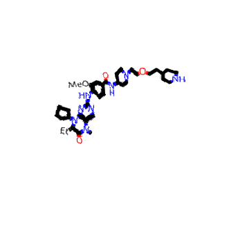 CCC1C(=O)N(C)c2cnc(Nc3ccc(C(=O)NC4CCN(CCOCCC5CCNCC5)CC4)cc3OC)nc2N1C1CCCC1